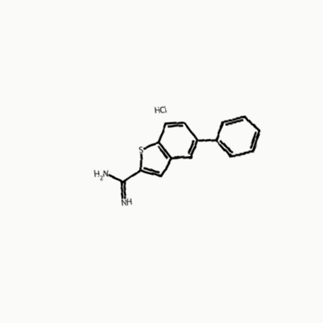 Cl.N=C(N)c1cc2cc(-c3ccccc3)ccc2s1